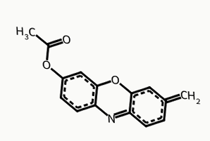 C=c1ccc2c(c1)Oc1cc(OC(C)=O)ccc1N=2